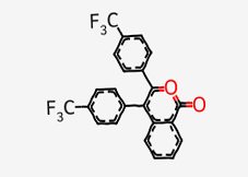 O=c1oc(-c2ccc(C(F)(F)F)cc2)c(-c2ccc(C(F)(F)F)cc2)c2ccccc12